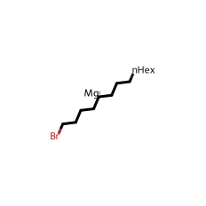 CCCCCCCCCCCCCCBr.[Mg]